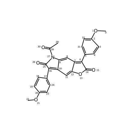 COc1ccc(C2=c3cc4c(cc3OC2=O)=C(c2ccc(OC)cc2)C(=O)N4C(C)=O)cc1